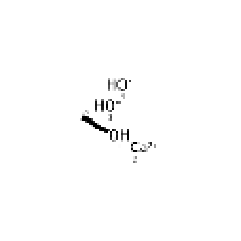 CO.[Ca+2].[OH-].[OH-]